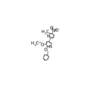 CCOc1cc(-c2ccc([N+](=O)[O-])c(C)n2)cnc1OCc1ccccc1